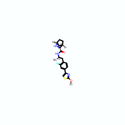 CCOc1nc(-c2ccc(C[C@@H](C#N)NC(=O)[C@H]3N[C@@H]4CC[C@H]3C4)c(F)c2)cs1